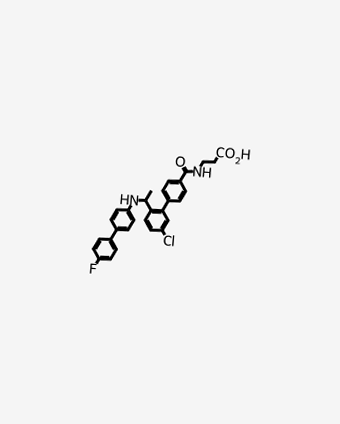 CC(Nc1ccc(-c2ccc(F)cc2)cc1)c1ccc(Cl)cc1-c1ccc(C(=O)NCCC(=O)O)cc1